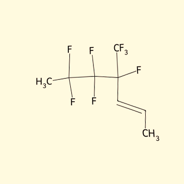 C/C=C/C(F)(C(F)(F)F)C(F)(F)C(C)(F)F